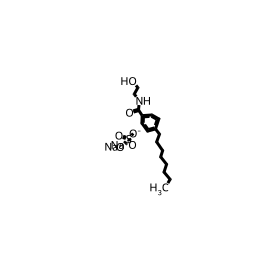 CCCCCCCCc1ccc(C(=O)NCCO)cc1.O=S(=O)([O-])[O-].[Na+].[Na+]